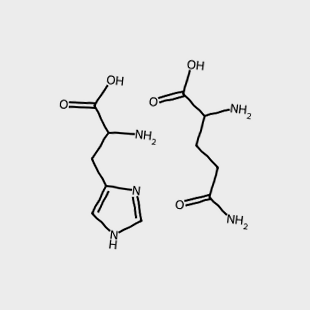 NC(=O)CCC(N)C(=O)O.NC(Cc1c[nH]cn1)C(=O)O